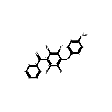 COc1ccc(Oc2c(F)c(F)c(C(=O)c3ccccc3)c(F)c2F)cc1